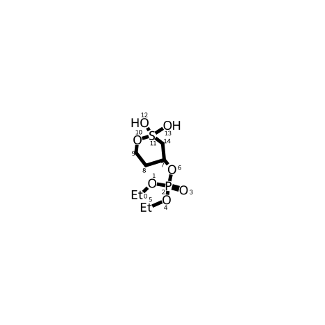 CCOP(=O)(OCC)OC1CCOS(O)(O)C1